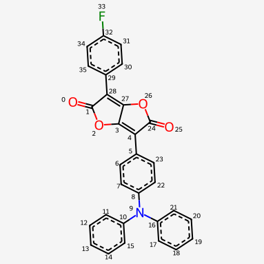 O=C1OC2=C(c3ccc(N(c4ccccc4)c4ccccc4)cc3)C(=O)OC2=C1c1ccc(F)cc1